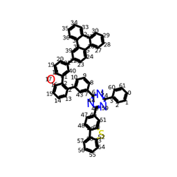 c1ccc(-c2nc(-c3cccc(-c4cccc5oc6ccc(-c7ccc8c9ccccc9c9ccccc9c8c7)cc6c45)c3)nc(-c3ccc4c(c3)sc3ccccc34)n2)cc1